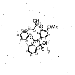 COc1ccc(N2C(=O)c3ccccc3C2(C)O)cc1OC(C)CCc1ccccc1